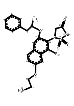 CC(Cc1ccccc1)Oc1cc2ccc(OCCN)cc2c(F)c1N1CC(=O)NS1(=O)=O